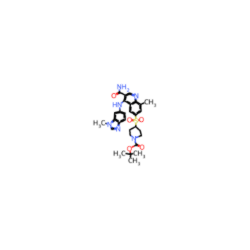 Cc1cc(S(=O)(=O)C2CCN(C(=O)OC(C)(C)C)CC2)cc2c(Nc3ccc4ncn(C)c4c3)c(C(N)=O)cnc12